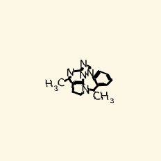 Cc1nc2ncnn2c2c1CCN2C(C)c1ccccc1